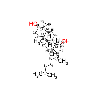 CC(C)CCC[C@@H](C)[C@H]1C[C@H](O)[C@H]2[C@@H]3CC=C4C5(CC5)[C@@H](O)CC[C@]4(C)[C@H]3CC[C@@]21C